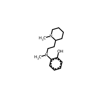 CN(CCC1CCCCN1C)c1ccccc1O